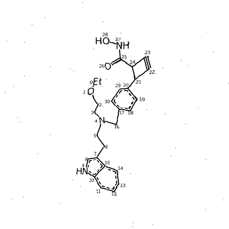 CCOCCN(CCc1c[nH]c2ccccc12)Cc1ccc(C2C#CC2C(=O)NO)cc1